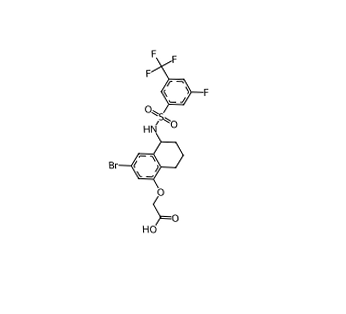 O=C(O)COc1cc(Br)cc2c1CCCC2NS(=O)(=O)c1cc(F)cc(C(F)(F)F)c1